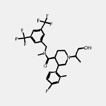 Cc1cc(F)ccc1C1CN(C(C)CO)CCC1C(=O)N(C)Cc1cc(C(F)(F)F)cc(C(F)(F)F)c1